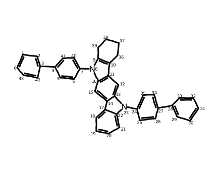 c1ccc(-c2ccc(-n3c4c(c5cc6c(cc53)c3ccccc3n6-c3ccc(-c5ccccc5)cc3)CCCC4)cc2)cc1